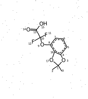 CC1(C)Oc2cccc(OC(F)(F)C(=O)O)c2O1